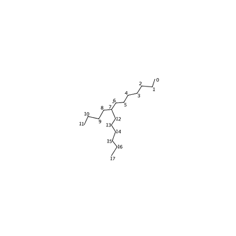 CCCCCC[CH]C(CCCC)CCCCCC